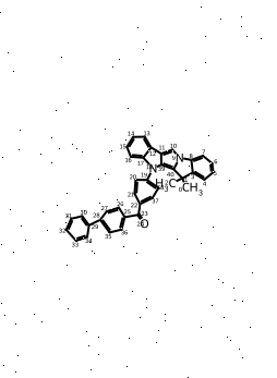 CC1(C)c2ccccc2-n2cc3c4ccccc4n(-c4ccc(C(=O)c5ccc(-c6ccccc6)cc5)cc4)c3c21